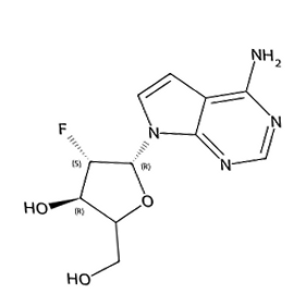 Nc1ncnc2c1ccn2[C@@H]1OC(CO)[C@@H](O)[C@@H]1F